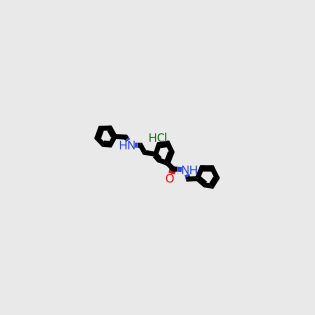 Cl.O=C(NCc1ccccc1)c1cccc(CCNCc2ccccc2)c1